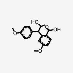 COc1ccc(C(c2cc(OC)ccc2C(=O)O)C(C)O)cc1